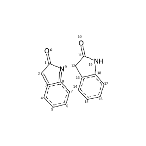 O=C1C=c2ccccc2=N1.O=C1Cc2ccccc2N1